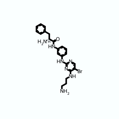 NCCCNc1nc(Nc2cccc(NC(=O)[C@H](N)Cc3ccccc3)c2)ncc1Br